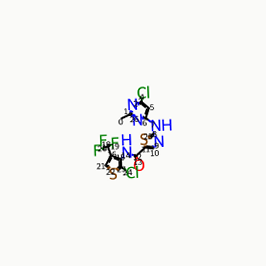 Cc1nc(Cl)cc(Nc2ncc(C(=O)Nc3c(C(F)(F)F)csc3Cl)s2)n1